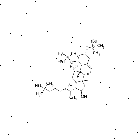 CC(SCCCC(C)(C)O)[C@H]1[C@H](O)C[C@H]2C3=CC=C4C[C@@H](O[Si](C)(C)C(C)(C)C)C[C@H](O[Si](C)(C)C(C)(C)C)[C@]4(C)[C@H]3CC[C@@]21C